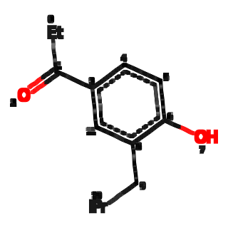 CCC(=O)c1ccc(O)c(CC(C)C)c1